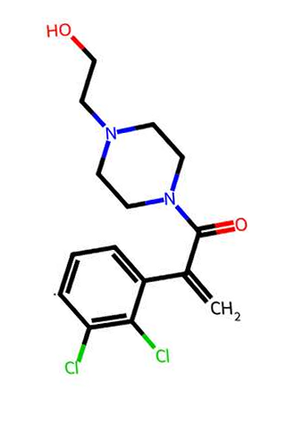 C=C(C(=O)N1CCN(CCO)CC1)c1cc[c]c(Cl)c1Cl